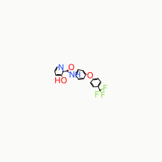 O=C(Nc1ccc(Oc2ccc(C(F)(F)F)cc2)cc1)c1ncccc1O